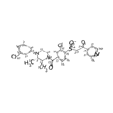 C[C@H]1[C@H](C)N(c2cccc(Cl)c2)CCN1C(=O)c1ccc([S+]([O-])CC(=O)c2ccncc2)c(Cl)c1